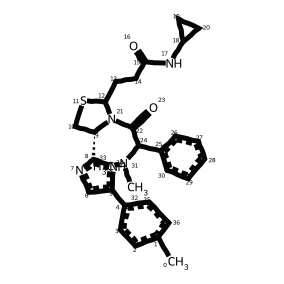 Cc1ccc(-c2cnc([C@@H]3CSC(CCC(=O)NC4CC4)N3C(=O)C(c3ccccc3)N(C)C)[nH]2)cc1